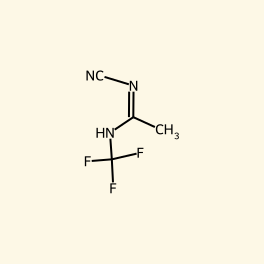 CC(=NC#N)NC(F)(F)F